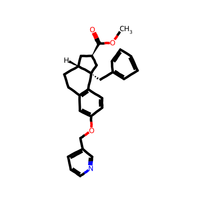 COC(=O)[C@@H]1C[C@H]2CCc3cc(OCc4cccnc4)ccc3[C@]2(Cc2ccccc2)C1